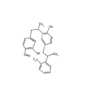 COc1ccc(CC(C)c2cc(CC(C)c3ccccc3C(F)(F)F)ccc2C#N)cc1C(C)C